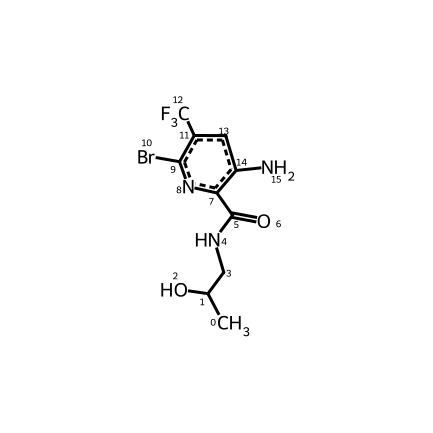 CC(O)CNC(=O)c1nc(Br)c(C(F)(F)F)cc1N